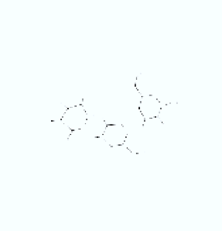 CC1O[C@@H](OC2C(O)[C@@H](O)C(CO)O[C@H]2O[C@@H]2C(CO)O[C@@H](O)C(O)C2O)C(O)C(O)[C@@H]1O